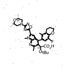 Cc1nc2c(cc(-c3nc(N4C[C@@H](C)O[C@@H](C)C4)no3)n2C)c(-c2cc(F)c3c(c2C)CCCO3)c1[C@H](OC(C)(C)C)C(=O)O